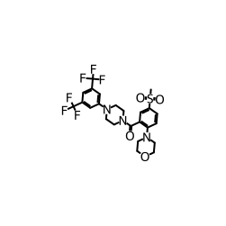 CS(=O)(=O)c1ccc(N2CCOCC2)c(C(=O)N2CCN(c3cc(C(F)(F)F)cc(C(F)(F)F)c3)CC2)c1